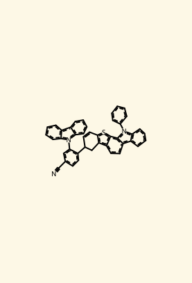 N#Cc1ccc(C2C=Cc3sc4c(ccc5c6ccccc6n(-c6ccccc6)c54)c3C2)c(-n2c3ccccc3c3ccccc32)c1